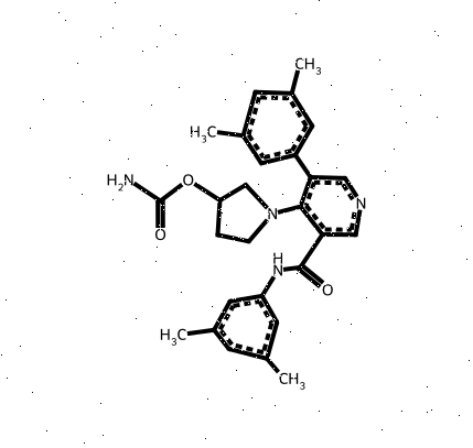 Cc1cc(C)cc(NC(=O)c2cncc(-c3cc(C)cc(C)c3)c2N2CCC(OC(N)=O)C2)c1